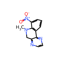 CN1Cc2nccnc2-c2cccc([N+](=O)[O-])c21